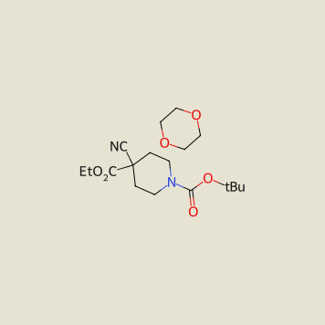 C1COCCO1.CCOC(=O)C1(C#N)CCN(C(=O)OC(C)(C)C)CC1